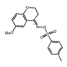 COc1ccc2c(c1)/C(=N/OS(=O)(=O)c1ccc(C)cc1)CCO2